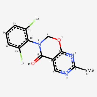 CSc1ncc2c(n1)OCN(c1c(F)cccc1F)C2=O